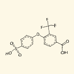 O=C(O)c1ccc(Oc2ccc(S(=O)(=O)O)cc2)c(C(F)(F)F)c1